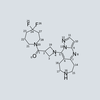 O=C(C1CN(c2c3c(nc4ccnn24)CCNCC3)C1)N1CCCC(F)(F)CC1